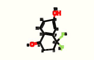 O=C1CCC(F)(F)c2cc(O)ccc21